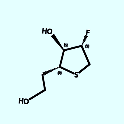 OCC[C@H]1SC[C@@H](F)[C@@H]1O